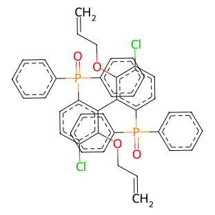 C=CCOc1c(Cl)ccc(P(=O)(c2ccccc2)c2ccccc2)c1-c1c(P(=O)(c2ccccc2)c2ccccc2)ccc(Cl)c1OCC=C